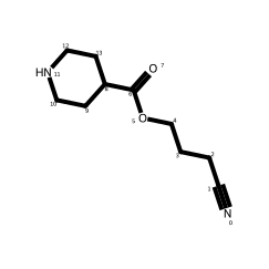 N#CCCCOC(=O)C1CCNCC1